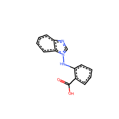 O=C(O)c1ccccc1Nn1cnc2ccccc21